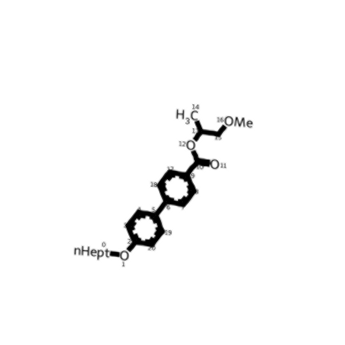 CCCCCCCOc1ccc(-c2ccc(C(=O)OC(C)COC)cc2)cc1